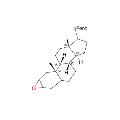 CCCCCC1CC[C@H]2[C@@H]3CCC4CC5OC5C[C@]4(C)[C@@H]3CC[C@]12C